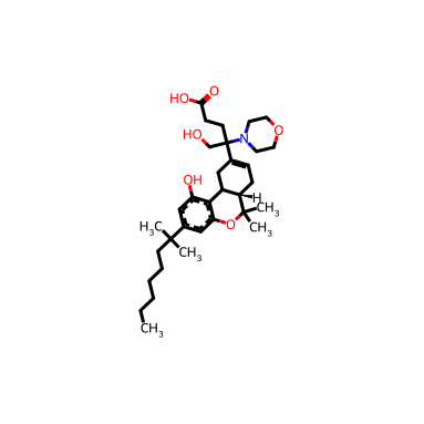 CCCCCCC(C)(C)c1cc(O)c2c(c1)OC(C)(C)[C@H]1CC=C(C(CO)(CCC(=O)O)N3CCOCC3)CC21